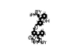 CC(C)C(=O)Oc1ccc(COCc2ccc(O)c([C@H](CCN(C(C)C)C(C)C)c3ccccc3)c2)cc1[C@H](CCN(C(C)C)C(C)C)c1ccccc1